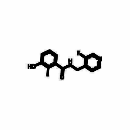 Cc1c(O)cccc1C(=O)NCc1ccncc1F